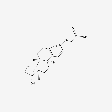 C[C@]12CC[C@@H]3c4ccc(OCC(=O)O)cc4CC[C@H]3[C@@H]1CC[C@H]2O